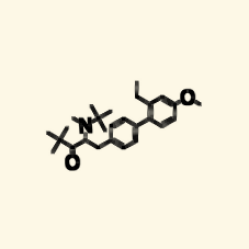 CCc1cc(OC)ccc1-c1ccc(CC(C(=O)C(C)(C)C)N(C)C(C)(C)C)cc1